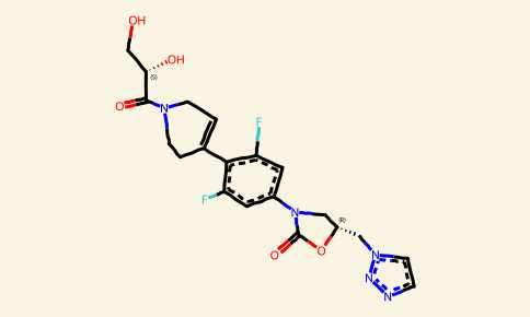 O=C([C@@H](O)CO)N1CC=C(c2c(F)cc(N3C[C@H](Cn4ccnn4)OC3=O)cc2F)CC1